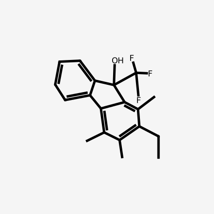 CCc1c(C)c(C)c2c(c1C)C(O)(C(F)(F)F)c1ccccc1-2